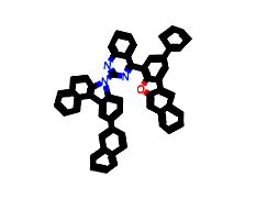 c1ccc(-c2cc(-c3nc(-n4c5ccc(-c6ccc7ccccc7c6)cc5c5c6ccccc6ccc54)nc4ccccc34)c3oc4cc5ccccc5cc4c3c2)cc1